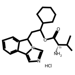 CC(C)[C@H](N)C(=O)OC(CC1c2ccccc2-c2cncn21)C1CCCCC1.Cl